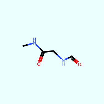 CNC(=O)CN[C]=O